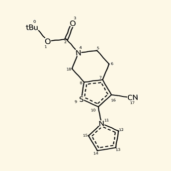 CC(C)(C)OC(=O)N1CCc2c(sc(-n3cccc3)c2C#N)C1